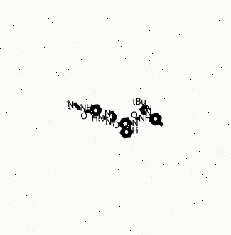 Cc1ccc(-n2nc(C(C)(C)C)cc2NC(=O)Nc2ccc(Oc3ccnc(Nc4cccc(C(=O)NCCN(C)C)c4)n3)c3ccccc23)cc1